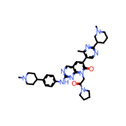 Cc1nc(C2CCCN(C)C2)ncc1-c1cc2cnc(Nc3ccc(C4CCN(C)CC4)cc3)nc2n(CC(=O)N2CCCC2)c1=O